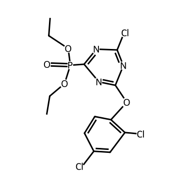 CCOP(=O)(OCC)c1nc(Cl)nc(Oc2ccc(Cl)cc2Cl)n1